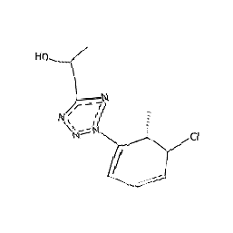 CC(O)c1nnn(C2=CC=CC(Cl)[C@H]2C)n1